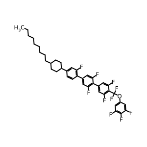 CCCCCCCCCC1CCC(c2ccc(-c3cc(F)c(-c4cc(F)c(C(F)(F)Oc5cc(F)c(F)c(F)c5)c(F)c4)c(F)c3)c(F)c2)CC1